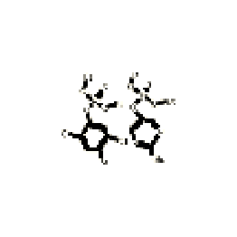 CCOP(=S)(OCC)Oc1cc(Cl)c(Br)cc1Cl.CCOP(=S)(OCC)Oc1cnc(C(C)(C)C)nc1